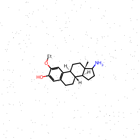 CCOc1cc2c(cc1O)CC[C@@H]1[C@@H]2CC[C@]2(C)C(N)CC[C@@H]12